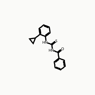 O=C(NC(=S)Nc1ccccc1C1CC1)c1ccccc1